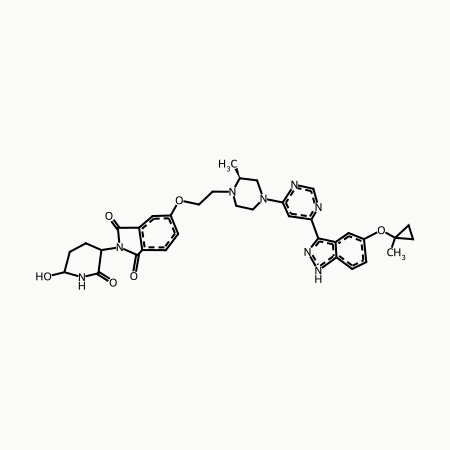 C[C@H]1CN(c2cc(-c3n[nH]c4ccc(OC5(C)CC5)cc34)ncn2)CCN1CCOc1ccc2c(c1)C(=O)N(C1CCC(O)NC1=O)C2=O